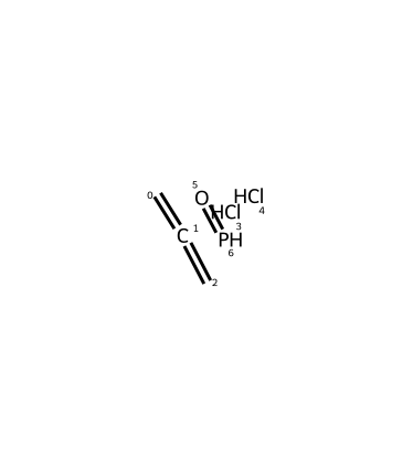 C=C=C.Cl.Cl.O=P